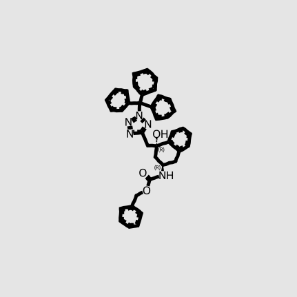 O=C(N[C@@H]1Cc2ccccc2[C@](O)(Cc2nnn(C(c3ccccc3)(c3ccccc3)c3ccccc3)n2)C1)OCc1ccccc1